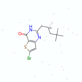 C[C@@H]([CH]c1nc2cc(Br)sc2c(=O)[nH]1)CC(C)(C)C